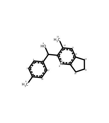 Cc1ccc(C(O)c2nc3c(cc2C)CCC3)cc1